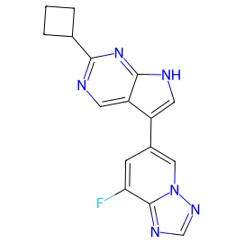 Fc1cc(-c2c[nH]c3nc(C4CCC4)ncc23)cn2ncnc12